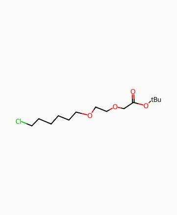 CC(C)(C)OC(=O)COCCOCCCCCCCl